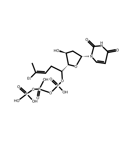 CCC(C)=CCC(OP(=O)(O)OP(=O)(O)OP(=O)(O)O)[C@H]1O[C@@H](n2ccc(=O)[nH]c2=O)C[C@@H]1O